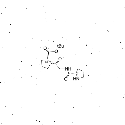 CC(C)(C)OC(=O)[C@@H]1CCCN1C(=O)CNC(=O)[C@@H]1CCCN1